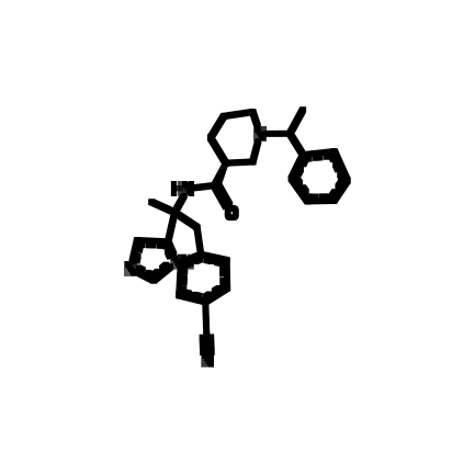 CC(c1ccccc1)N1CCC[C@H](C(=O)NC(C)(Cc2ccc(C#N)cc2)c2cnc[nH]2)C1